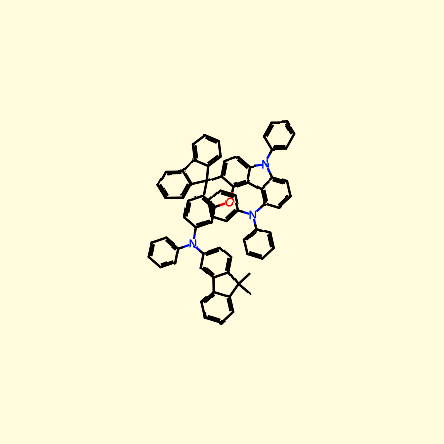 CC1(C)c2ccccc2-c2cc(N(c3ccccc3)c3ccc4c(c3)Oc3c(ccc5c3c3c(N(c6ccccc6)c6ccccc6)cccc3n5-c3ccccc3)C43c4ccccc4-c4ccccc43)ccc21